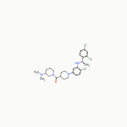 C[C@@H](Nc1cc(N2CCC(C(=O)N3CCCC(N(C)C)C3)CC2)ccc1Cl)c1ccc(Cl)cc1Cl